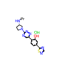 CC(C)N[C@H]1CCN(c2ncc(-c3ccc(-c4ncns4)cc3O)nn2)C1.Cl